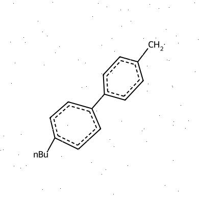 [CH2]c1ccc(-c2ccc(CCCC)cc2)cc1